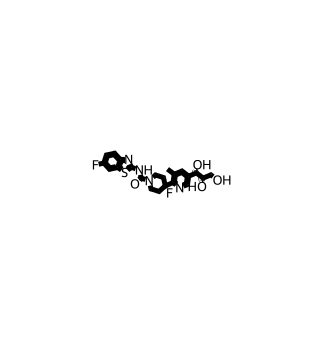 Cc1cc([C@H](O)[C@@H](O)CO)cnc1C1(F)CCN(C(=O)Nc2nc3ccc(F)cc3s2)CC1